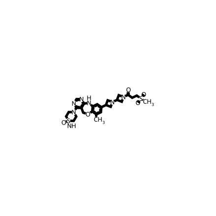 Cc1cc(C2CN(C3CN(C(=O)CCS(C)(=O)=O)C3)C2)cc2c1OCc1c(ncnc1N1CCS(=N)(=O)CC1)N2